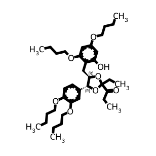 CCCCOc1cc(O)c(C[C@H]2OC(CC)(C(=O)CC)O[C@@H]2c2ccc(OCCCC)c(OCCCC)c2)c(OCCCC)c1